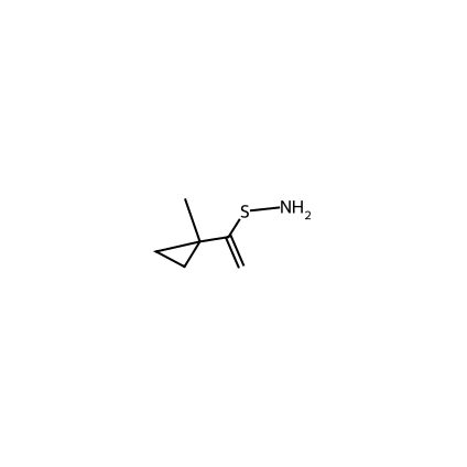 C=C(SN)C1(C)CC1